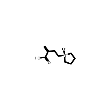 C=C(CC[N+]1([O-])CCCC1)C(=O)O